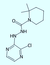 CC1(C)CCCCN1C(=O)NNc1nccnc1Cl